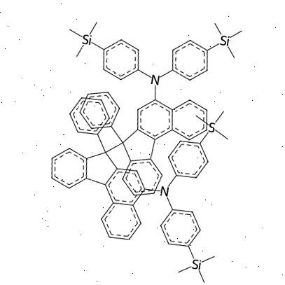 C[Si](C)(C)c1ccc(N(c2ccc([Si](C)(C)C)cc2)c2cc3c(c4ccccc24)-c2ccccc2C3(c2ccccc2)C2(c3ccccc3)c3ccccc3-c3c2cc(N(c2ccc([Si](C)(C)C)cc2)c2ccc(S(C)(C)C)cc2)c2ccccc32)cc1